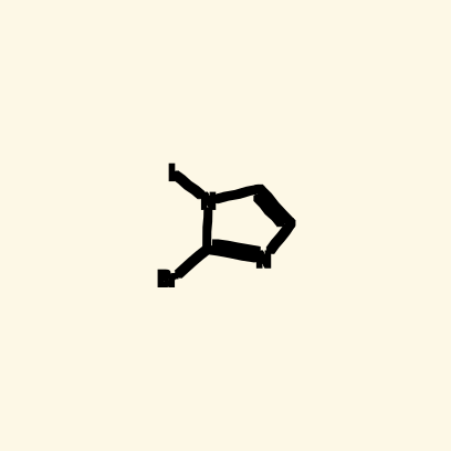 Brc1nccn1I